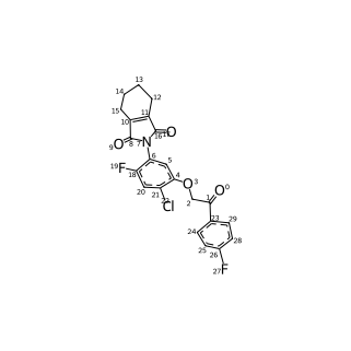 O=C(COc1cc(N2C(=O)C3=C(CCCC3)C2=O)c(F)cc1Cl)c1ccc(F)cc1